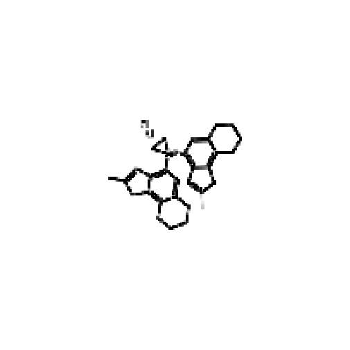 CC1=Cc2[c]([Zr+2]3([c]4cc5c(c6c4C=C(C)C6)CCCC5)[CH2][CH2]3)cc3c(c2C1)CCCC3.[Cl-].[Cl-]